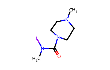 CN1CCN(C(=O)N(C)I)CC1